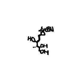 C[C@@H]([C@H](O)CO)[C@@H](O)CCO[Si](C)(C)C(C)(C)C